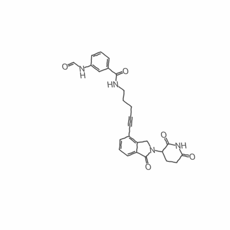 O=CNc1cccc(C(=O)NCCCC#Cc2cccc3c2CN(C2CCC(=O)NC2=O)C3=O)c1